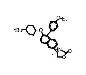 CCOc1ccc(-c2c(O[C@H]3CC[C@H](C(C)(C)C)CC3)ccc3cc([C@]4(C)COC(=O)N4)ccc23)cc1